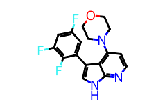 Fc1cc(F)c(F)c(-c2c[nH]c3nccc(N4CCOCC4)c23)c1